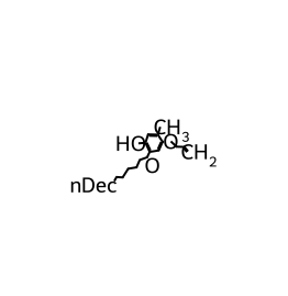 C=CCOc1cc(C(=O)CCCCCCCCCCCCCCC)c(O)cc1C